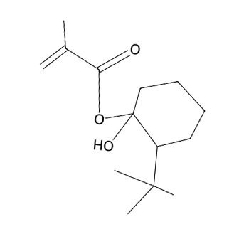 C=C(C)C(=O)OC1(O)CCCCC1C(C)(C)C